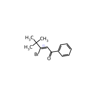 CC(C)(C)/C(Br)=C/C(=O)c1ccccc1